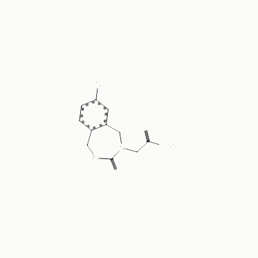 COC(=O)CN1Cc2cc([N+](=O)[O-])ccc2CNC1=O